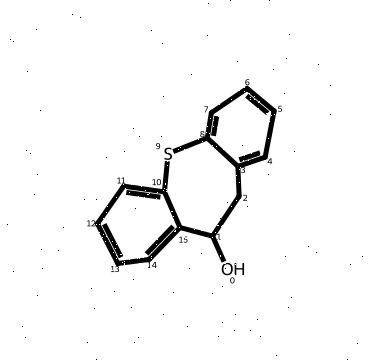 OC1Cc2ccccc2Sc2ccccc21